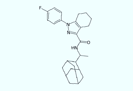 CC(NC(=O)c1nn(-c2ccc(F)cc2)c2c1CCCC2)C1C2CC3CC(C2)CC1C3